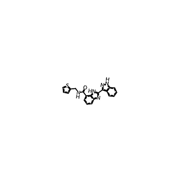 O=C(NCc1cccs1)c1cccc2nc(-c3n[nH]c4ccccc34)[nH]c12